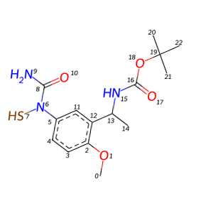 COc1ccc(N(S)C(N)=O)cc1C(C)NC(=O)OC(C)(C)C